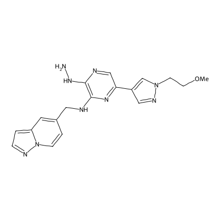 COCCn1cc(-c2cnc(NN)c(NCc3ccn4nccc4c3)n2)cn1